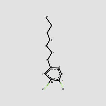 CCCCCCCc1c[c]c(F)c(F)c1